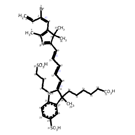 C=C/C(Br)=C\C1=C(C)N=C(/C=C/C=C/C=C2\N(CCCS(=O)(=O)O)c3ccc(S(=O)(=O)O)cc3C2(C)CCCCCC(=O)O)C1(C)C